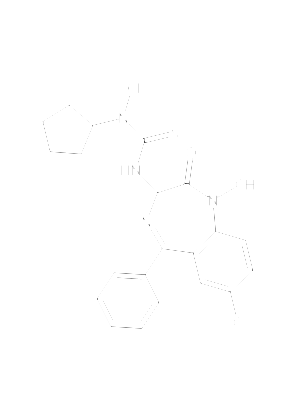 CN1C(=O)C(NC(=S)N(C)C2CCCC2)N=C(c2ccccc2)c2cc(Cl)ccc21